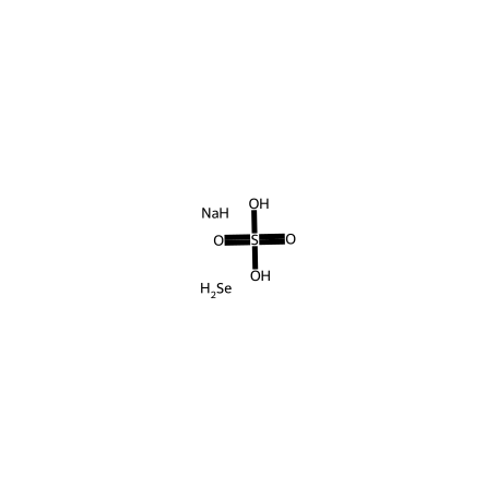 O=S(=O)(O)O.[NaH].[SeH2]